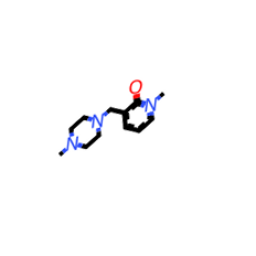 CN1CCN(Cc2cccn(C)c2=O)CC1